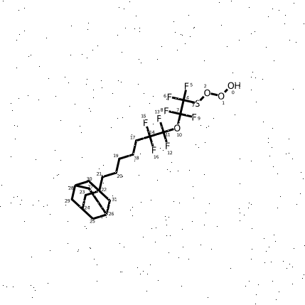 OOOSC(F)(F)C(F)(F)OC(F)(F)C(F)(F)CCCCCC12CC3CC(CC(C3)C1)C2